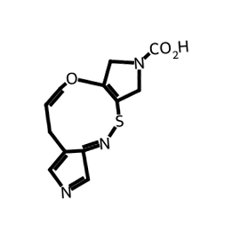 O=C(O)N1CC2=C(C1)SN=C1C=NC=C1CC=CO2